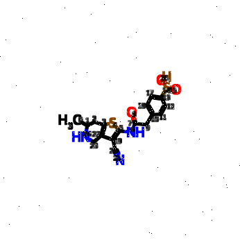 CC1Cc2sc(NC(=O)Cc3ccc([SH](=O)=O)cc3)c(C#N)c2CN1